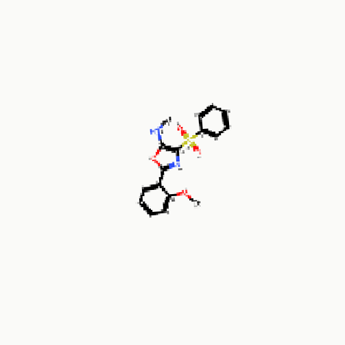 CCNc1oc(-c2ccccc2OCC)nc1S(=O)(=O)c1ccccc1